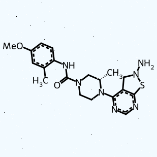 COc1ccc(NC(=O)N2CCN(c3ncnc4c3CN(N)S4)[C@@H](C)C2)c(C)c1